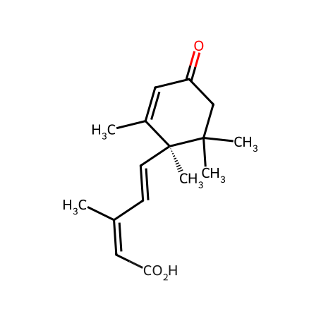 CC1=CC(=O)CC(C)(C)[C@@]1(C)/C=C/C(C)=C\C(=O)O